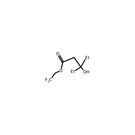 CCC(O)(CC)CC(=O)OCC(F)(F)F